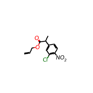 C=CCOC(=O)C(C)c1ccc([N+](=O)[O-])c(Cl)c1